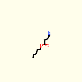 CCCCCOC(=O)[CH]CC#N